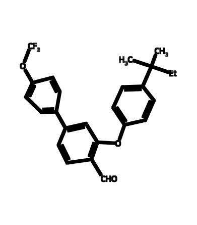 CCC(C)(C)c1ccc(Oc2cc(-c3ccc(OC(F)(F)F)cc3)ccc2C=O)cc1